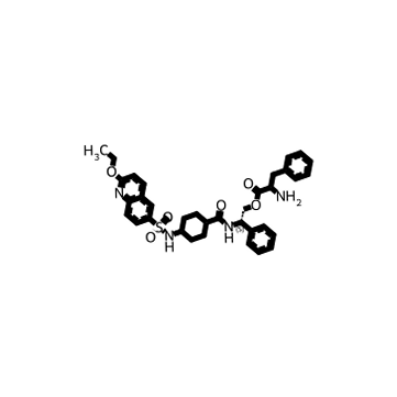 CCOc1ccc2cc(S(=O)(=O)NC3CCC(C(=O)N[C@H](COC(=O)C(N)Cc4ccccc4)c4ccccc4)CC3)ccc2n1